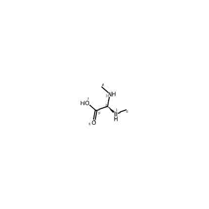 CB[C@H](NC)C(=O)O